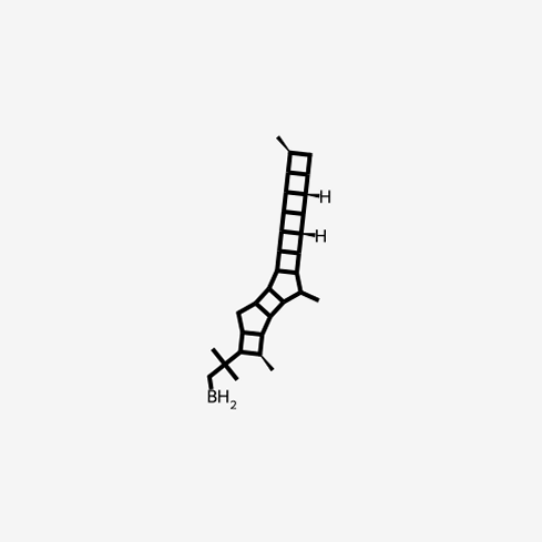 BCC(C)(C)C1C2CC3C4C(C(C)C5C4C4C5[C@@H]5C4C4C6C7C(C[C@@H]7C)[C@@H]6C45)C3C2[C@H]1C